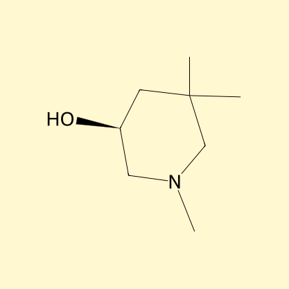 CN1C[C@@H](O)CC(C)(C)C1